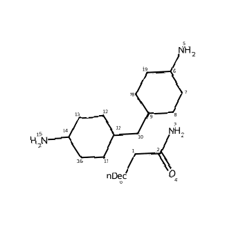 CCCCCCCCCCCC(N)=O.NC1CCC(CC2CCC(N)CC2)CC1